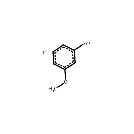 COc1ccc[c]([Zn+])c1.[I-]